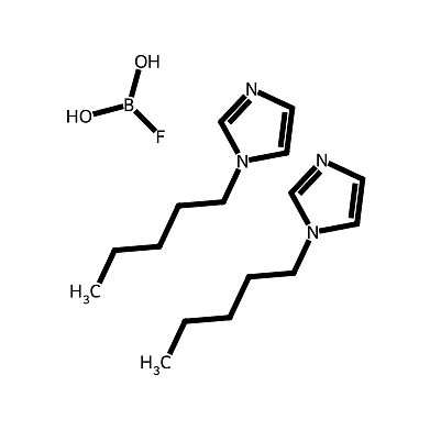 CCCCCn1ccnc1.CCCCCn1ccnc1.OB(O)F